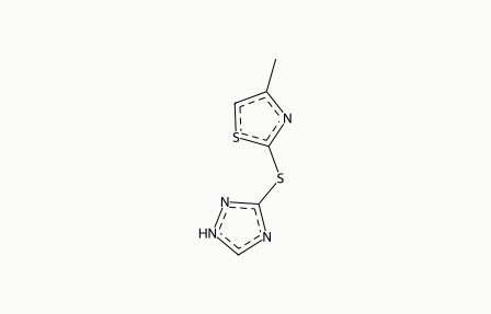 Cc1csc(Sc2nc[nH]n2)n1